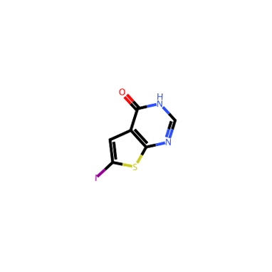 O=c1[nH]cnc2sc(I)cc12